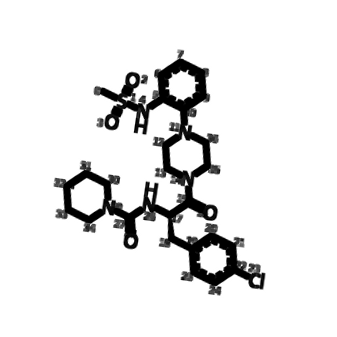 CS(=O)(=O)Nc1ccccc1N1CCN(C(=O)[C@@H](Cc2ccc(Cl)cc2)NC(=O)N2CC[CH]CC2)CC1